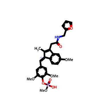 COc1ccc2c(c1)C(CC(=O)NCc1ccco1)=C(C)/C2=C/c1cc(OC)c(OP(=O)(O)OC)c(OC)c1